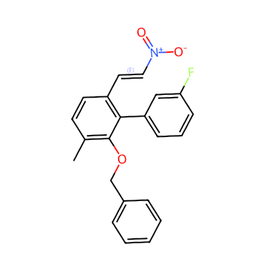 Cc1ccc(/C=C/[N+](=O)[O-])c(-c2cccc(F)c2)c1OCc1ccccc1